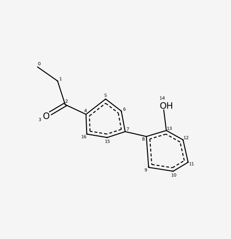 CCC(=O)c1ccc(-c2ccccc2O)cc1